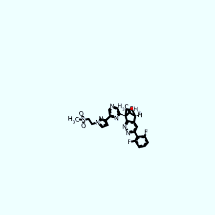 CC1(C)[C@H]2CC[C@@]1(c1cncc(-c3ccn(CCS(C)(=O)=O)n3)n1)c1nnc(-c3c(F)cccc3F)cc12